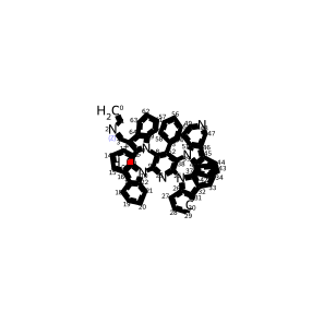 C=C/N=C\c1c(C)n(-c2c(-n3c4ccccc4c4ccccc43)nc(-n3c4ccccc4c4ccccc43)c(-n3c4ccccc4c4cnccc43)c2-c2ccccc2)c2ccccc12